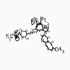 Cc1ccc2ncc(-c3cnn4c(N)c(Br)c(CNC5CCN(S(C)(=O)=O)CC5)nc34)cc2c1